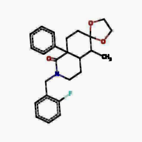 CC1C2CCN(Cc3ccccc3F)C(=O)C2(c2ccccc2)CCC12OCCO2